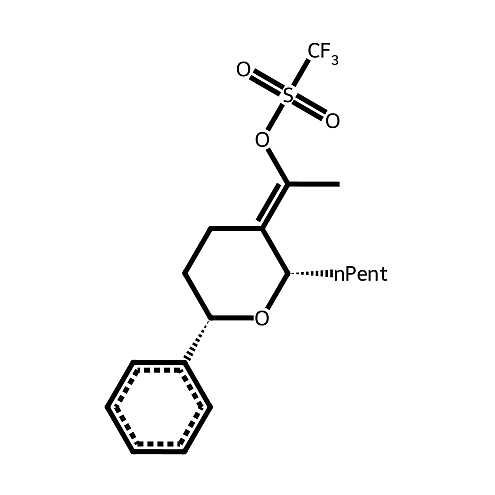 CCCCC[C@@H]1O[C@H](c2ccccc2)CC/C1=C(/C)OS(=O)(=O)C(F)(F)F